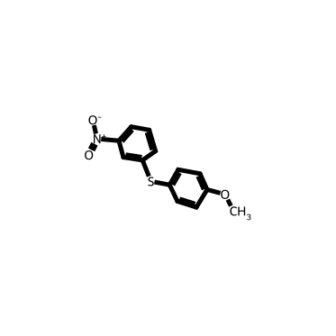 COc1ccc(Sc2cccc([N+](=O)[O-])c2)cc1